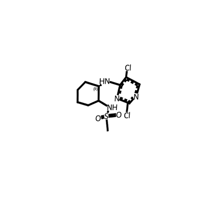 CS(=O)(=O)NC1CCCC[C@H]1Nc1nc(Cl)ncc1Cl